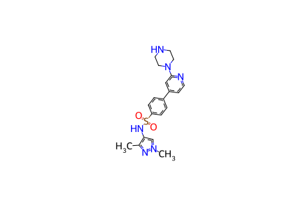 Cc1nn(C)cc1NS(=O)(=O)c1ccc(-c2ccnc(N3CCNCC3)c2)cc1